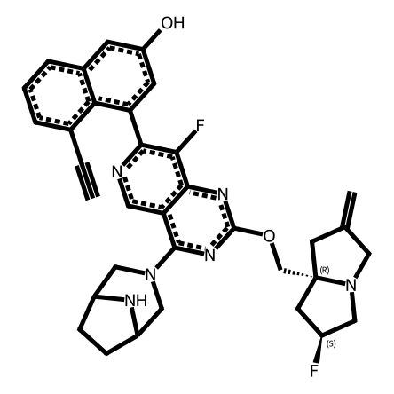 C#Cc1cccc2cc(O)cc(-c3ncc4c(N5CC6CCC(C5)N6)nc(OC[C@]56CC(=C)CN5C[C@@H](F)C6)nc4c3F)c12